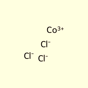 [Cl-].[Cl-].[Cl-].[Co+3]